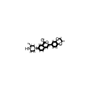 C[C@H]1CN(c2ccc3cc(-c4ccc5c(c4)OCCO5)oc(=O)c3c2)CCN1